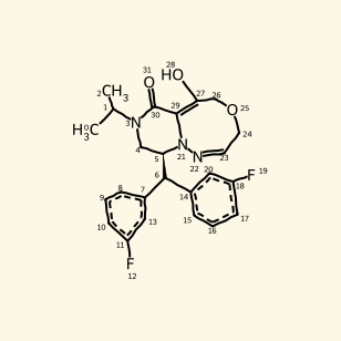 CC(C)N1C[C@H](C(c2cccc(F)c2)c2cccc(F)c2)N2/N=C\COC/C(O)=C\2C1=O